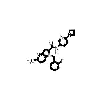 O=C(Nc1ccc(N2CCC2)nc1)c1cc2nc(C(F)(F)F)ccc2n1Cc1ccccc1F